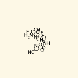 CC1(c2nc(NC(=O)Oc3ncc(C#N)cc3Cl)ccc2F)COC(C)(C(F)(F)F)C(N)=N1